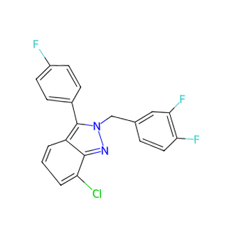 Fc1ccc(-c2c3cccc(Cl)c3nn2Cc2ccc(F)c(F)c2)cc1